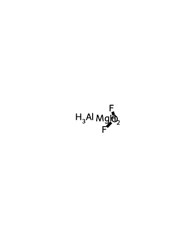 FOF.[AlH3].[MgH2]